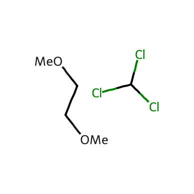 COCCOC.ClC(Cl)Cl